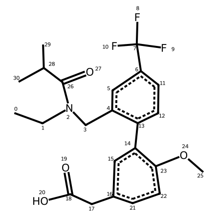 CCN(Cc1cc(C(F)(F)F)ccc1-c1cc(CC(=O)O)ccc1OC)C(=O)C(C)C